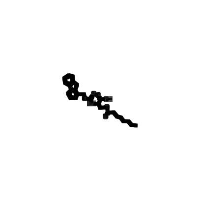 CCCCCCCC(=O)OCC(NC(=O)OCc1cccc2c1Cc1ccccc1-2)C(=O)O